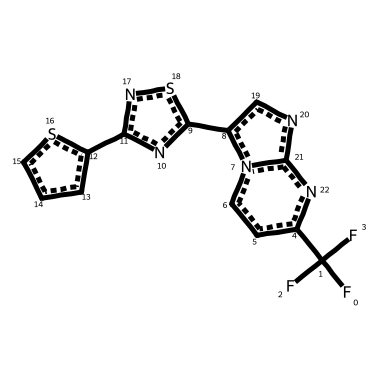 FC(F)(F)c1ccn2c(-c3nc(-c4cccs4)ns3)cnc2n1